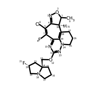 CC1ON=C2C(Cl)=C(F)C3=NC(OC[C@@]45CCCN4C[C@H](F)C5)=NN4CCCC(=C34)[C@@H]21